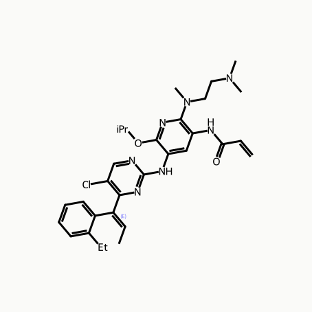 C=CC(=O)Nc1cc(Nc2ncc(Cl)c(/C(=C/C)c3ccccc3CC)n2)c(OC(C)C)nc1N(C)CCN(C)C